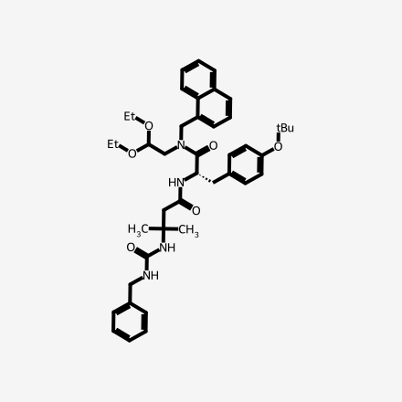 CCOC(CN(Cc1cccc2ccccc12)C(=O)[C@H](Cc1ccc(OC(C)(C)C)cc1)NC(=O)CC(C)(C)NC(=O)NCc1ccccc1)OCC